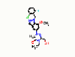 CCN(C=O)/C(CO)=N\N(C)c1cc(OC)c2c(cnn2Cc2c(F)cccc2Cl)c1